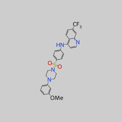 COc1cccc(N2CCN(S(=O)(=O)c3ccc(Nc4ccnc5cc(C(F)(F)F)ccc45)cc3)CC2)c1